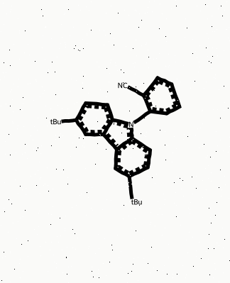 CC(C)(C)c1ccc2c(c1)c1cc(C(C)(C)C)ccc1n2-c1ccccc1C#N